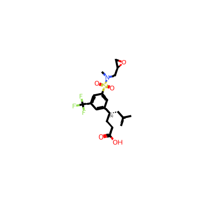 CC(C)C[C@H](CCC(=O)O)c1cc(C(F)(F)F)cc(S(=O)(=O)N(C)CC2CO2)c1